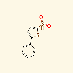 O=[SH](=O)c1ccc(-c2ccccc2)s1